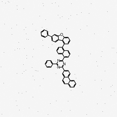 c1ccc(-c2ccc3c(c2)oc2cccc(-c4cccc5c(-c6nc(-c7ccccc7)nc(-c7ccc8c(ccc9ccccc98)c7)n6)cccc45)c23)cc1